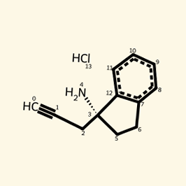 C#CC[C@]1(N)CCc2ccccc21.Cl